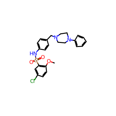 COc1ccc(Cl)cc1S(=O)(=O)Nc1ccc(CN2CCN(c3ccccc3)CC2)cc1